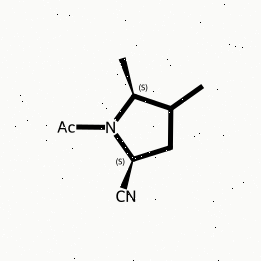 CC(=O)N1[C@H](C#N)CC(C)[C@@H]1C